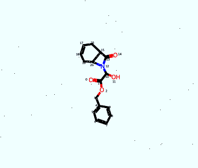 O=C(OCc1ccccc1)C(O)N1C(=O)C2CC=CCC21